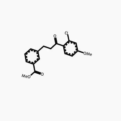 COC(=O)c1cccc(CCC(=O)c2ccc(OC)cc2Cl)c1